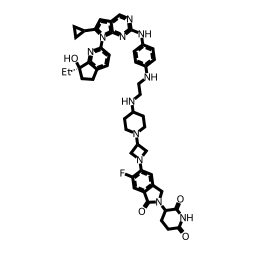 CC[C@@]1(O)CCc2ccc(-n3c(C4CC4)cc4cnc(Nc5ccc(NCCNC6CCN(C7CN(c8cc9c(cc8F)C(=O)N(C8CCC(=O)NC8=O)C9)C7)CC6)cc5)nc43)nc21